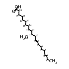 CCCCCCCCC=CCCCCCCCCCCCC(=O)O.O